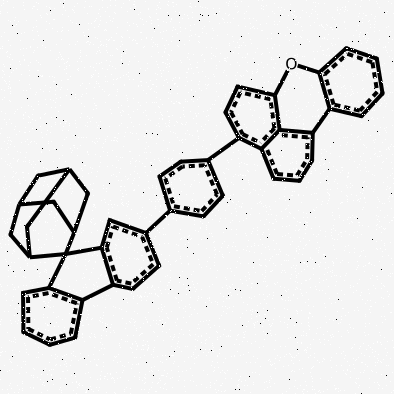 c1ccc2c(c1)Oc1ccc(-c3ccc(-c4ccc5c(c4)C4(c6ccccc6-5)C5CC6CC(C5)CC4C6)cc3)c3cccc-2c13